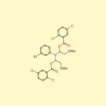 CCc1cccc(N(C(COC)OC(=O)c2cc(Cl)ccc2Cl)C(COC)OC(=O)c2cc(Cl)ccc2Cl)c1